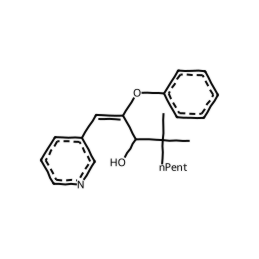 CCCCCC(C)(C)C(O)/C(=C\c1cccnc1)Oc1ccccc1